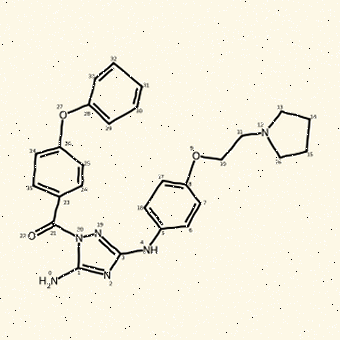 Nc1nc(Nc2ccc(OCCN3CCCC3)cc2)nn1C(=O)c1ccc(Oc2ccccc2)cc1